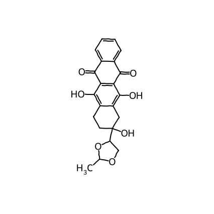 CC1OCC(C2(O)CCc3c(O)c4c(c(O)c3C2)C(=O)c2ccccc2C4=O)O1